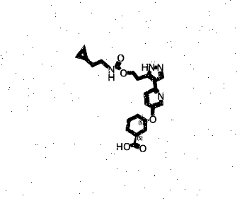 O=C(NCCC1CC1)OCCc1[nH]ncc1-c1ccc(O[C@H]2CCC[C@H](C(=O)O)C2)cn1